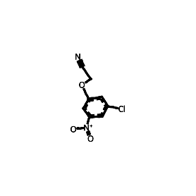 N#CCOc1cc(Cl)cc([N+](=O)[O-])c1